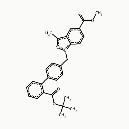 COC(=O)c1ccc2c(c1)c(C)nn2Cc1ccc(-c2ccccc2C(=O)OC(C)(C)C)cc1